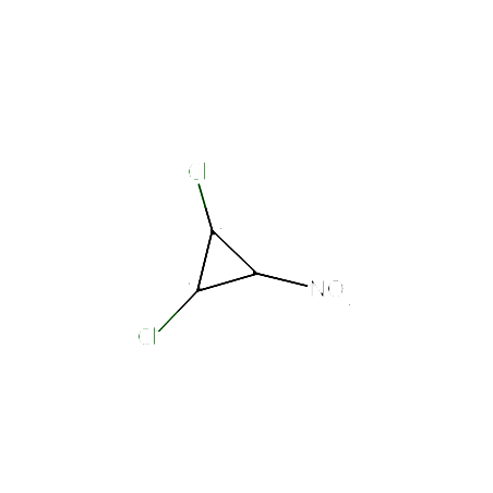 O=[N+]([O-])C1C(Cl)C1Cl